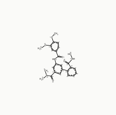 COc1ccc(C(=O)Nc2cc(C(=O)N(C)C)cc(-c3ccccc3C(=O)NO)c2)cc1OC